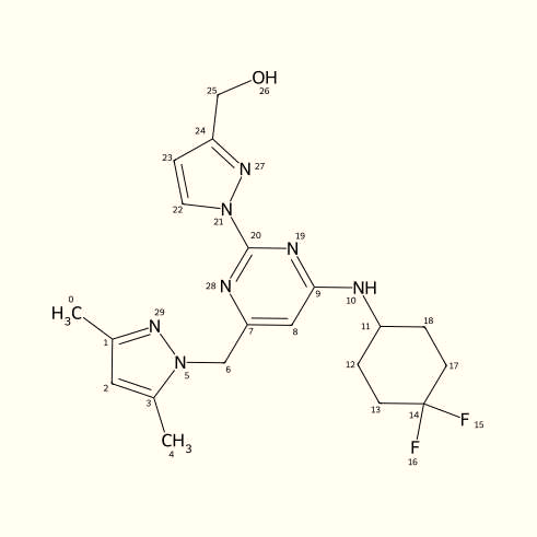 Cc1cc(C)n(Cc2cc(NC3CCC(F)(F)CC3)nc(-n3ccc(CO)n3)n2)n1